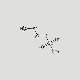 CSOCS(N)(=O)=O